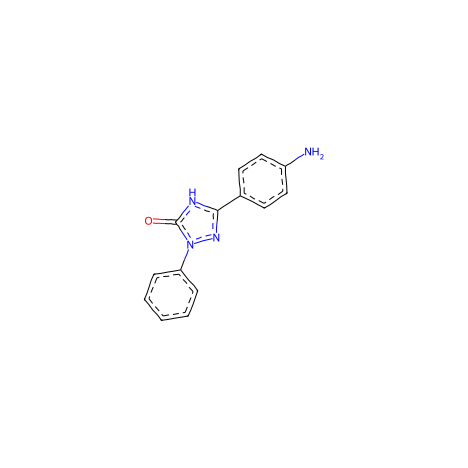 Nc1ccc(-c2nn(-c3ccccc3)c(=O)[nH]2)cc1